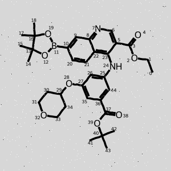 CCOC(=O)c1cnc2cc(B3OC(C)(C)C(C)(C)O3)ccc2c1Nc1cc(OC2CCOCC2)cc(C(=O)OC(C)(C)C)c1